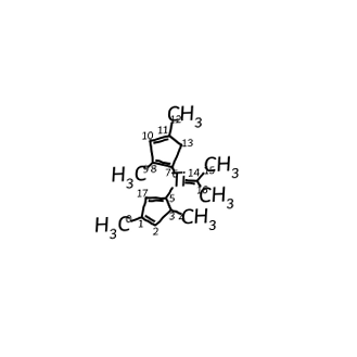 CC1=CC(C)[C]([Ti]([C]2=C(C)C=C(C)C2)=[C](C)C)=C1